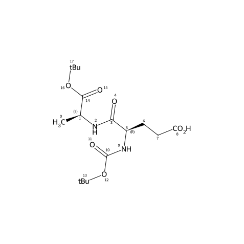 C[C@H](NC(=O)[C@@H](CCC(=O)O)NC(=O)OC(C)(C)C)C(=O)OC(C)(C)C